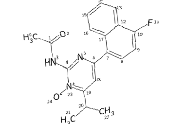 CC(=O)Nc1nc(-c2ccc(F)c3ccccc23)cc(C(C)C)[n+]1[O-]